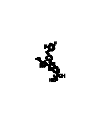 CC(C)(O)[C@H](O)c1cc2nc(-c3cnn(C4CC4)c3)c(N3CCN(Cc4ccc(F)cc4F)CC3)nc2cn1